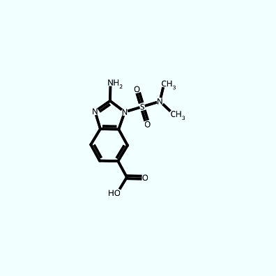 CN(C)S(=O)(=O)n1c(N)nc2ccc(C(=O)O)cc21